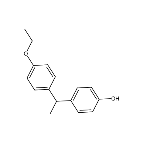 CCOc1ccc(C(C)c2ccc(O)cc2)cc1